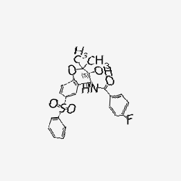 CC1(C)Oc2ccc(S(=O)(=O)c3ccccc3)cc2[C@@H](NC(=O)c2ccc(F)cc2)[C@@H]1O